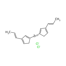 CC=CC1=CC[C]([Zr+2][C]2=CC(C=CC)=CC2)=C1.[Cl-].[Cl-]